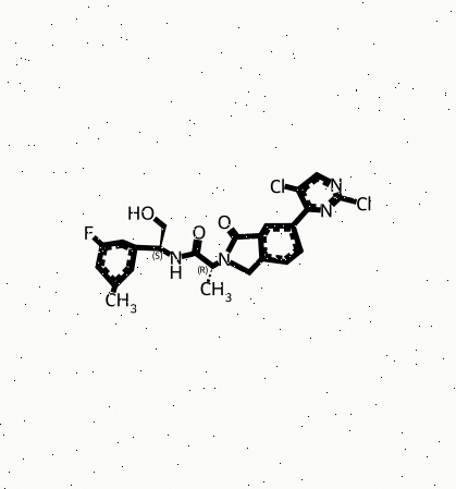 Cc1cc(F)cc([C@@H](CO)NC(=O)[C@@H](C)N2Cc3ccc(-c4nc(Cl)ncc4Cl)cc3C2=O)c1